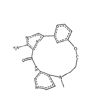 CN1CCCOc2cccc(c2)-c2cnc(N)c(n2)C(=O)Nc2cnccc21